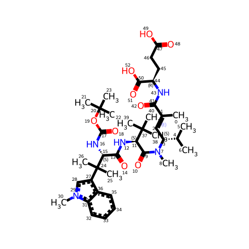 C/C(=C\[C@H](C(C)C)N(C)C(=O)[C@@H](NC(=O)[C@@H](NC(=O)OC(C)(C)C)C(C)(C)c1cn(C)c2ccccc12)C(C)(C)C)C(=O)N[C@H](CCC(=O)O)C(=O)O